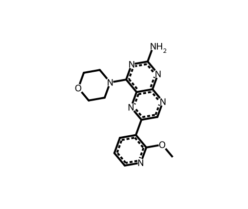 COc1ncccc1-c1cnc2nc(N)nc(N3CCOCC3)c2n1